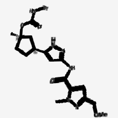 COCc1cc(C(=O)Nc2cc([C@H]3CC[C@@](C)(OC(=O)NC(C)C)C3)[nH]n2)n(C)n1